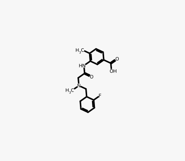 Cc1ccc(C(=O)O)cc1NC(=O)CN(C)CC1CC=CC=C1F